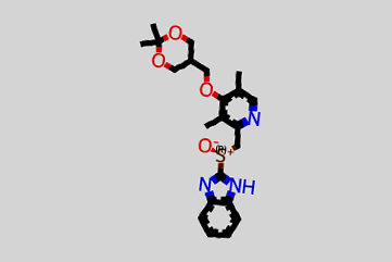 Cc1cnc(C[S@+]([O-])c2nc3ccccc3[nH]2)c(C)c1OCC1COC(C)(C)OC1